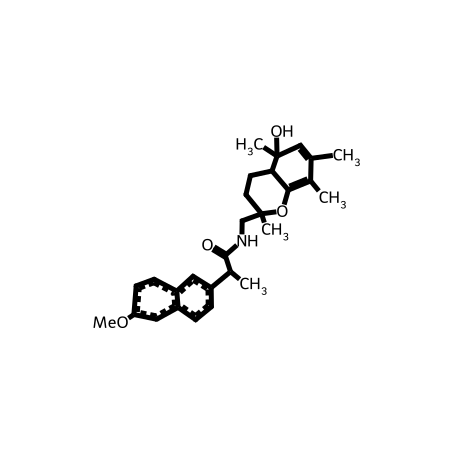 COc1ccc2cc(C(C)C(=O)NCC3(C)CCC4C(=C(C)C(C)=CC4(C)O)O3)ccc2c1